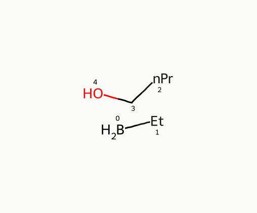 BCC.CCCCO